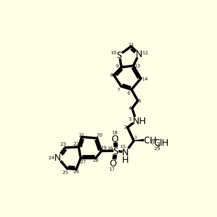 C[C@H](CNCCc1ccc2scnc2c1)NS(=O)(=O)c1ccc2cnccc2c1.Cl